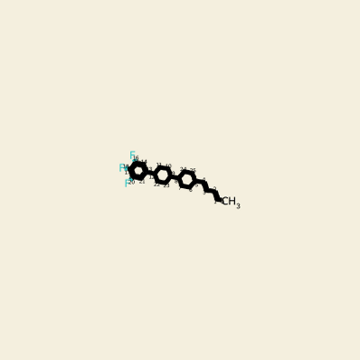 CC=CC=CC1CCC(C2CCC(c3cc(F)c(F)c(F)c3)CC2)CC1